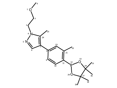 COCCn1ncc(-c2ccc(B3OC(C)(C)C(C)(C)O3)c(C)c2)c1C